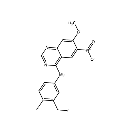 COc1cc2ncnc(Nc3ccc(F)c(CI)c3)c2cc1[N+](=O)[O-]